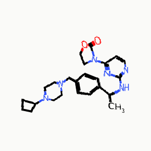 CC(Nc1nccc(N2CCOC2=O)n1)c1ccc(CN2CCN(C3CCC3)CC2)cc1